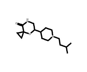 CC(C)CCN1CCC(C2CNC(=O)C3(CC3)O2)CC1